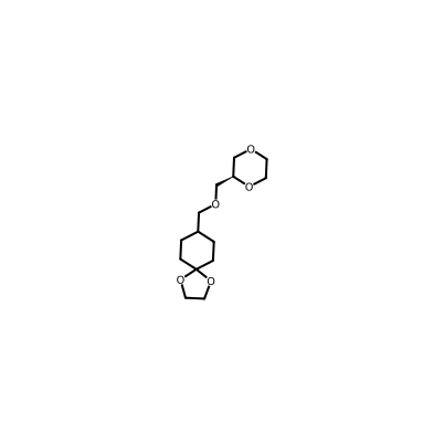 C1CO[C@@H](COCC2CCC3(CC2)OCCO3)CO1